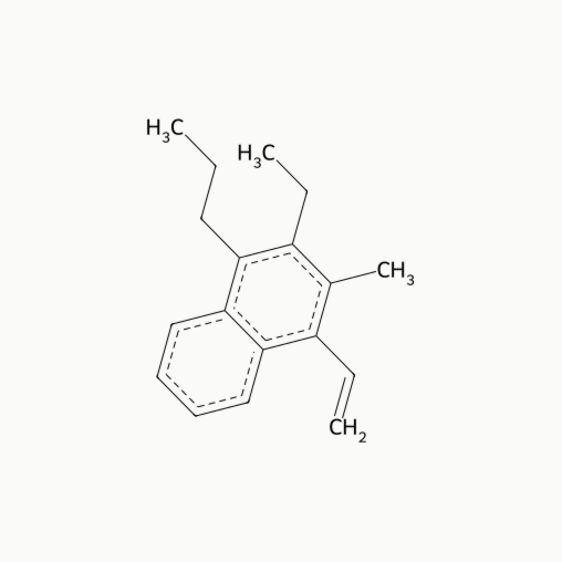 C=Cc1c(C)c(CC)c(CCC)c2ccccc12